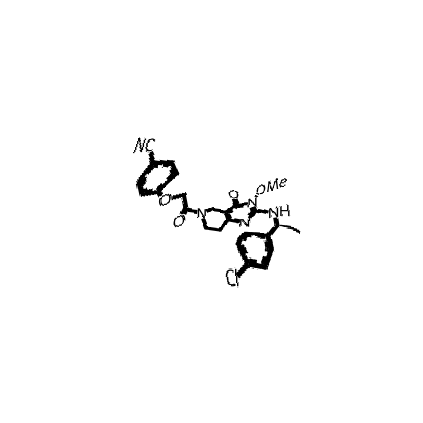 COn1c(N[C@@H](C)c2ccc(Cl)cc2)nc2c(c1=O)CN(C(=O)COc1ccc(C#N)cc1)CC2